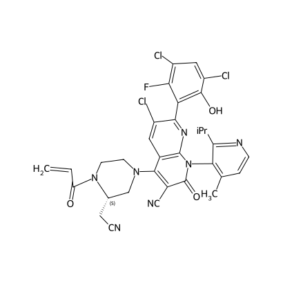 C=CC(=O)N1CCN(c2c(C#N)c(=O)n(-c3c(C)ccnc3C(C)C)c3nc(-c4c(O)c(Cl)cc(Cl)c4F)c(Cl)cc23)C[C@@H]1CC#N